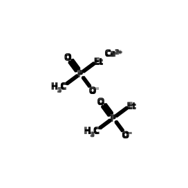 CCP(C)(=O)[O-].CCP(C)(=O)[O-].[Ca+2]